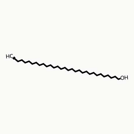 C#CCCCCCCCCCCCCCCCCCCCCCCCCCCCCCO